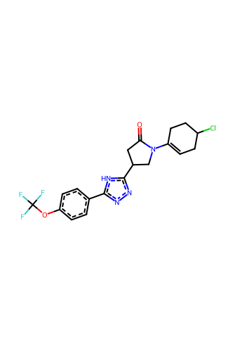 O=C1CC(c2nnc(-c3ccc(OC(F)(F)F)cc3)[nH]2)CN1C1=CCC(Cl)CC1